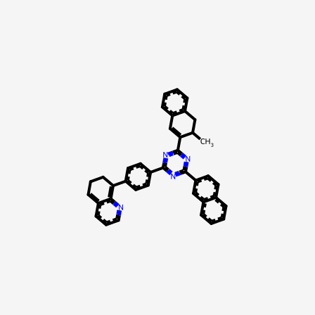 CC1Cc2ccccc2C=C1c1nc(-c2ccc(C3=c4ncccc4=CCC3)cc2)nc(-c2ccc3ccccc3c2)n1